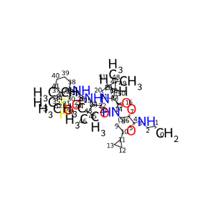 C=CCNC(=O)C(=O)[C@H](CCC1CC1)NC(=O)[C@@H]1[C@@H]2[C@H](CN1C(=O)[C@@H](NC(=O)NC1(C[SH](C)(=O)C(C)(C)C)CCCCC1)C(C)(C)C)C2(C)C